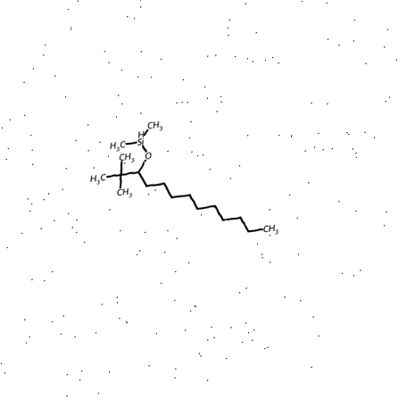 CCCCCCCCCCC(O[SiH](C)C)C(C)(C)C